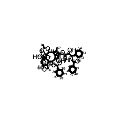 CC(=O)O[C@H]1C(=O)C2(C)C(O)C[C@H]3OC[C@@]3(OC(C)=O)[C@H]2[C@H](OC(=O)c2ccccc2)[C@]2(O)C[C@H](OC(=O)[C@H](O)[C@@H](NC(=O)c3ccccc3)c3ccccc3)C(C)=C1C2(C)C